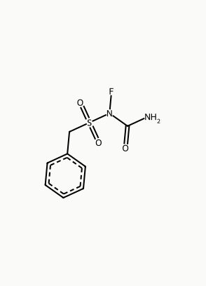 NC(=O)N(F)S(=O)(=O)Cc1ccccc1